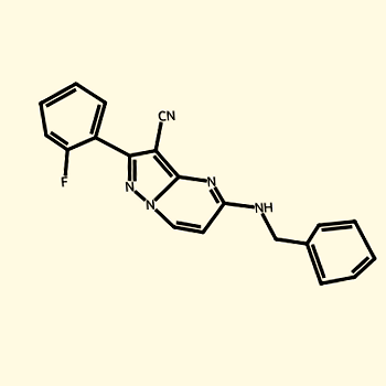 N#Cc1c(-c2ccccc2F)nn2ccc(NCc3ccccc3)nc12